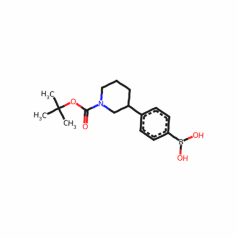 CC(C)(C)OC(=O)N1CCCC(c2ccc(B(O)O)cc2)C1